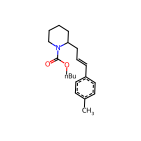 CCCCOC(=O)N1CCCCC1CC=Cc1ccc(C)cc1